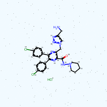 Cl.NCc1cn(Cc2nc(-c3ccc(Cl)cc3)c(-c3ccc(Cl)cc3)nc2C(=O)NN2CCCCC2)nn1